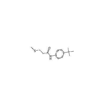 CSCCC(=O)Nc1ccc(C(C)(C)C)cc1